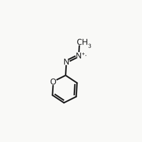 C[N+]=NC1C=CC=CO1